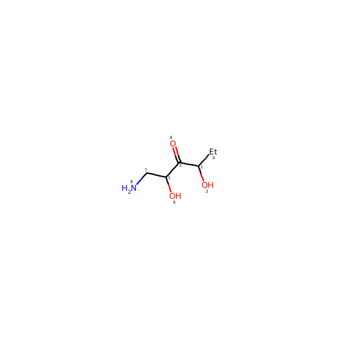 CCC(O)C(=O)C(O)CN